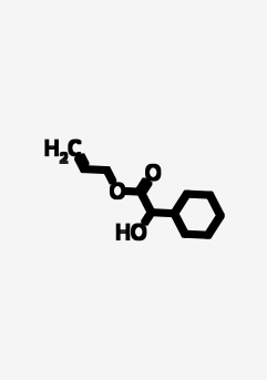 C=CCOC(=O)C(O)C1CCCCC1